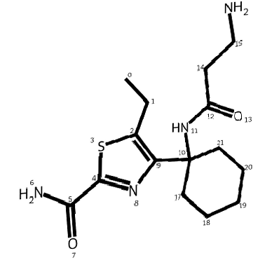 CCc1sc(C(N)=O)nc1C1(NC(=O)CCN)CCCCC1